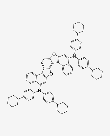 c1ccc2c(c1)c(N(c1ccc(C3CCCCC3)cc1)c1ccc(C3CCCCC3)cc1)cc1oc3c(ccc4oc5cc(N(c6ccc(C7CCCCC7)cc6)c6ccc(C7CCCCC7)cc6)c6ccccc6c5c43)c12